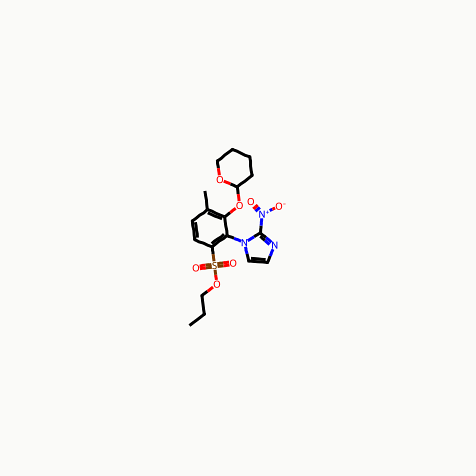 CCCOS(=O)(=O)c1ccc(C)c(OC2CCCCO2)c1-n1ccnc1[N+](=O)[O-]